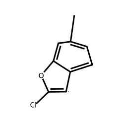 Cc1ccc2[c]c(Cl)oc2c1